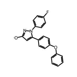 [O]c1cc(-c2ccc(Oc3ccccc3)cc2)n(-c2ccc(F)cc2)n1